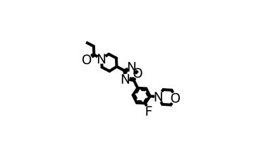 CCC(=O)N1CCC(c2noc(-c3ccc(F)c(N4CCOCC4)c3)n2)CC1